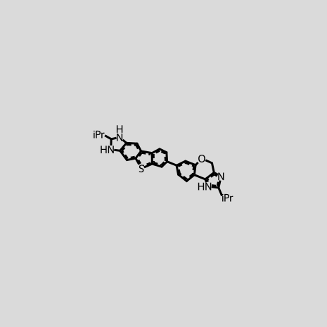 CC(C)c1nc2c([nH]1)-c1ccc(-c3ccc4c(c3)sc3cc5c(cc34)NC(C(C)C)N5)cc1OC2